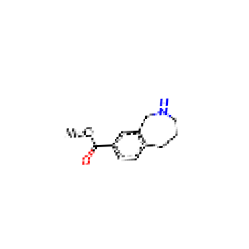 COC(=O)c1ccc2c(c1)CNCCC2